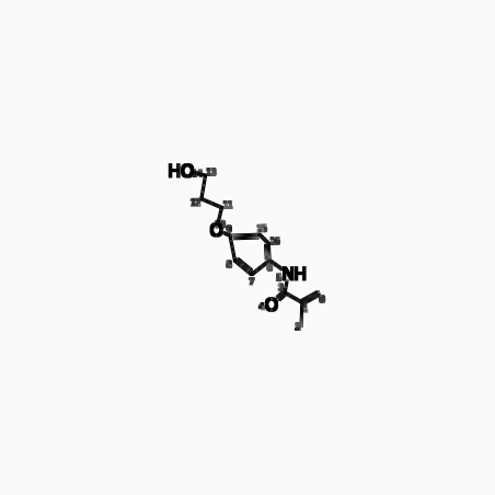 C=C(C)C(=O)Nc1ccc(OCCCO)cc1